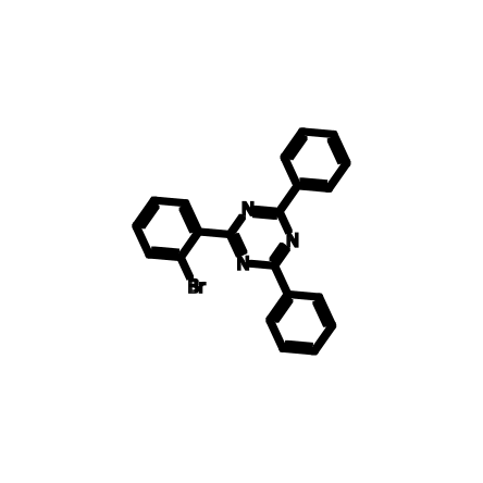 Brc1ccccc1-c1nc(-c2ccccc2)nc(-c2ccccc2)n1